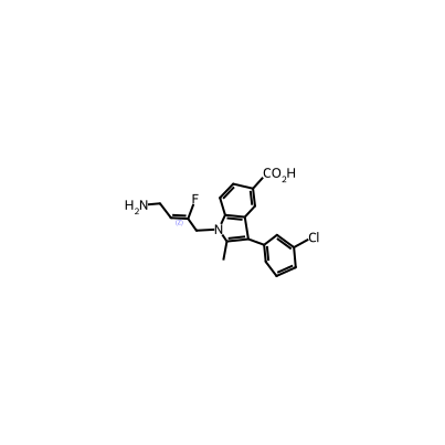 Cc1c(-c2cccc(Cl)c2)c2cc(C(=O)O)ccc2n1C/C(F)=C/CN